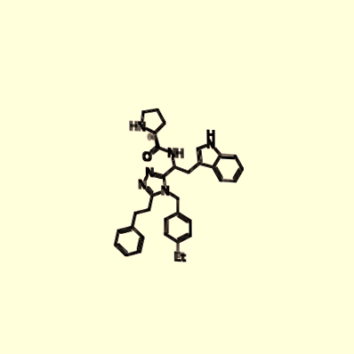 CCc1ccc(Cn2c(CCc3ccccc3)nnc2C(Cc2c[nH]c3ccccc23)NC(=O)[C@@H]2CCCN2)cc1